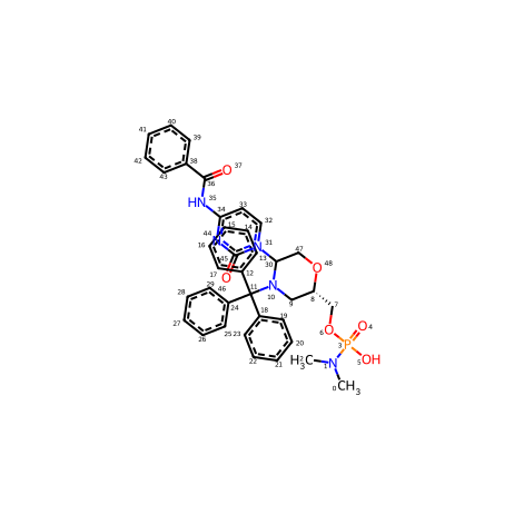 CN(C)P(=O)(O)OC[C@@H]1CN(C(c2ccccc2)(c2ccccc2)c2ccccc2)C(n2ccc(NC(=O)c3ccccc3)nc2=O)CO1